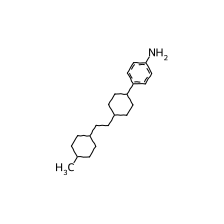 CC1CCC(CCC2CCC(c3ccc(N)cc3)CC2)CC1